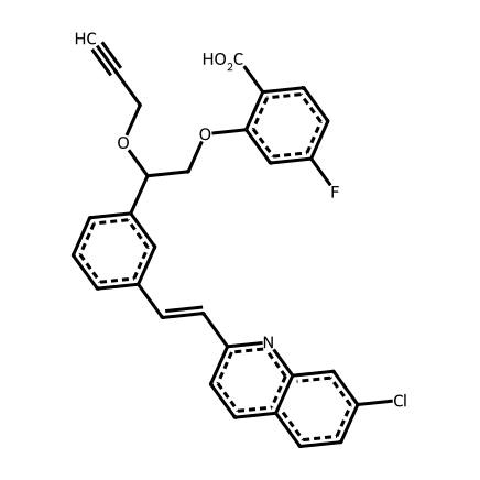 C#CCOC(COc1cc(F)ccc1C(=O)O)c1cccc(/C=C/c2ccc3ccc(Cl)cc3n2)c1